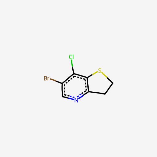 Clc1c(Br)cnc2c1SCC2